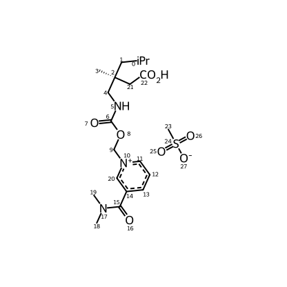 CC(C)C[C@](C)(CNC(=O)OC[n+]1cccc(C(=O)N(C)C)c1)CC(=O)O.CS(=O)(=O)[O-]